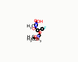 CC1CN(C(=O)O)CCN1C(=O)c1ccc(OC2CCN(C(=O)OC(C)(C)C)C2)c(-c2ccc(F)cc2)c1